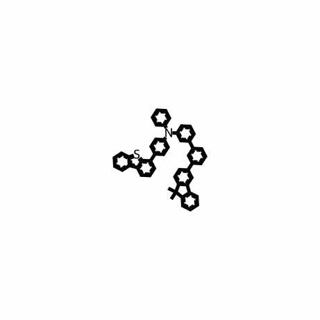 CC1(C)c2ccccc2-c2cc(-c3cccc(-c4cccc(N(c5ccccc5)c5ccc(-c6cccc7c6sc6ccccc67)cc5)c4)c3)ccc21